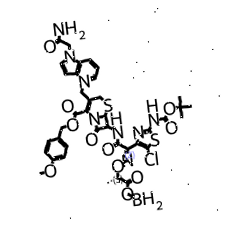 BOC(=O)[C@H](C)O/N=C(\C(=O)NC1C(=O)N2C(C(=O)OCc3ccc(OC)cc3)=C(C[n+]3cccc4c3ccn4CC(N)=O)CSC12)c1nc(NC(=O)OC(C)(C)C)sc1Cl